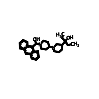 CCC(O)(CC)C1CCCN(C2CCN(C(O)c3c4ccccc4cc4ccccc34)CC2)C1